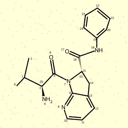 CC(C)[C@H](N)C(=O)N1c2ncccc2C[C@H]1C(=O)Nc1ccccc1